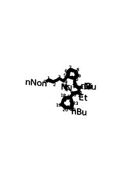 CCCCCCCCCC=CCCc1ccccc1C1=C(CCCC)C(CC)=C(c2cccc(CCCC)c2)[N+]1=[N-].[Ni]